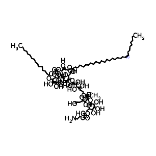 CCCCCCCC/C=C\CCCCCCCCCCCCCCCCCCCC(=O)OC[C@@H](O)COP(=O)(O)OC1C(O[C@H]2OC(CO)[C@@H](O[C@@H](O)C(O)C(O)[C@H](O)CCO[C@@H](OC)C(O[C@H]3OC(COP(=O)(O)OCCN)C(O)[C@@H](O)C3O)C(O)[C@H](O)CCO)[C@H](O)C2N)C(O)C(O)[C@@H](O)C1OC(=O)CCCCCCCCCCCCCCC